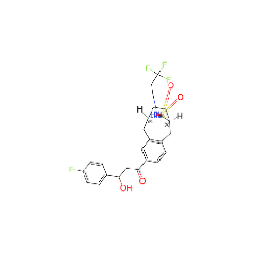 O=C(CC(O)c1ccc(F)cc1)c1ccc2c(c1)C[C@H]1CC[C@@H](C2)[C@]12CN(CC(F)(F)F)S(=O)(=O)N2